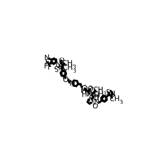 Cc1ncsc1-c1ccc(CNC(=O)[C@@H]2CCCN2C(=O)C(NC(=O)COCCC2CCN(CCOc3ccc(N4C(=S)N(c5ccc(C#N)c(C(F)(F)F)c5)C(=O)C4(C)C)cc3)CC2)C(C)(C)C)cc1